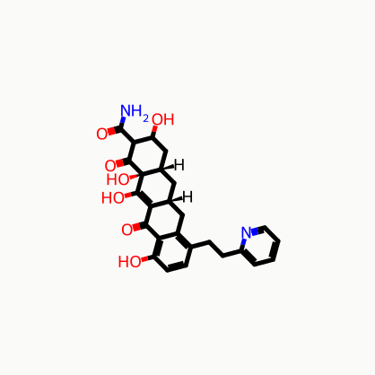 NC(=O)C1C(=O)[C@@]2(O)C(O)=C3C(=O)c4c(O)ccc(CCc5ccccn5)c4C[C@H]3C[C@H]2CC1O